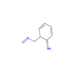 C=NCC1C=CC=CC1=N